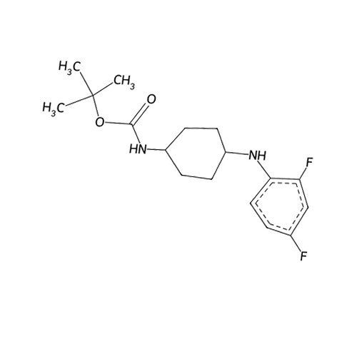 CC(C)(C)OC(=O)NC1CCC(Nc2ccc(F)cc2F)CC1